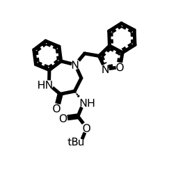 CC(C)(C)OC(=O)N[C@H]1CN(Cc2noc3ccccc23)c2ccccc2NC1=O